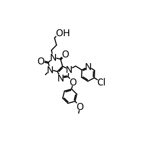 COc1cccc(Oc2nc3c(c(=O)n(CCCO)c(=O)n3C)n2Cc2ccc(Cl)cn2)c1